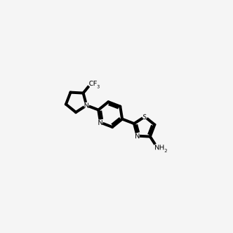 Nc1csc(-c2ccc(N3CCCC3C(F)(F)F)nc2)n1